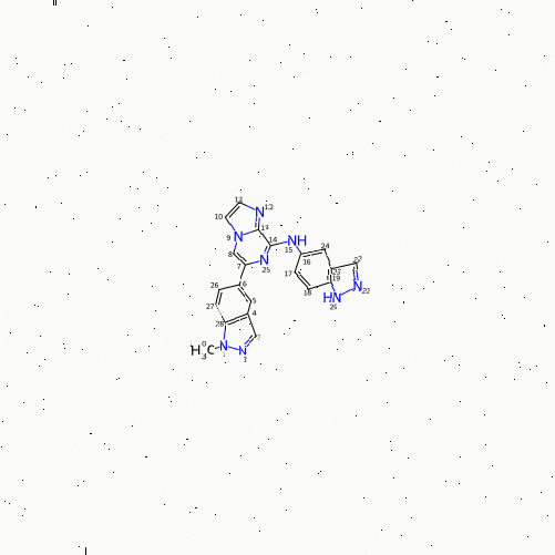 Cn1ncc2cc(-c3cn4ccnc4c(Nc4ccc5[nH]ncc5c4)n3)ccc21